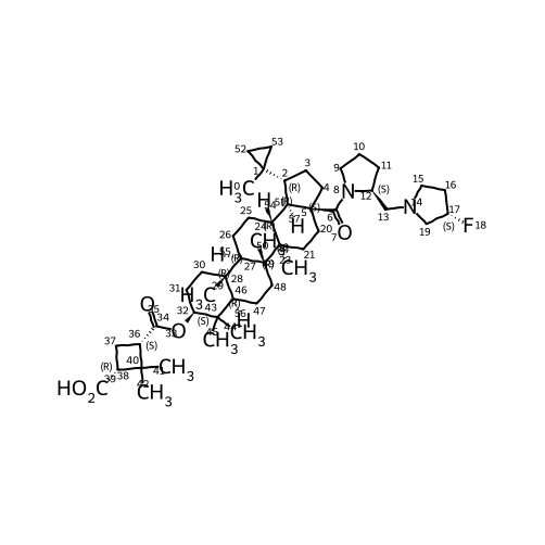 CC1([C@@H]2CC[C@]3(C(=O)N4CCC[C@H]4CN4CC[C@H](F)C4)CC[C@]4(C)[C@H](CC[C@@H]5[C@@]6(C)CC[C@H](OC(=O)[C@H]7C[C@@H](C(=O)O)C7(C)C)C(C)(C)[C@@H]6CC[C@]54C)[C@@H]23)CC1